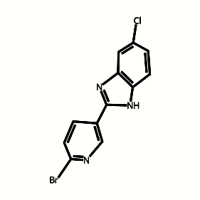 Clc1ccc2[nH]c(-c3ccc(Br)nc3)nc2c1